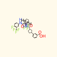 O=C(O)c1cccc(C2CCC(C(=O)N[C@H]3[C@@H](C(=O)Nc4ccc(F)c(C(F)(F)F)c4)[C@H]4CC[C@@H]3/C4=C\C(F)(F)F)C2)c1